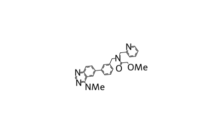 CNc1ncnc2ccc(-c3cccc(CN(Cc4ccccn4)C(=O)COC)c3)cc12